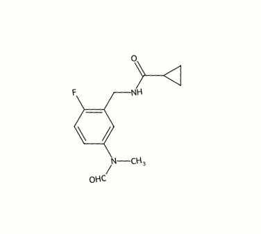 CN(C=O)c1ccc(F)c(CNC(=O)C2CC2)c1